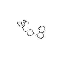 C=CC(C=C)=Cc1ccc(-c2cccc3ccccc23)cc1